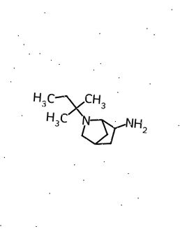 CCC(C)(C)N1CC2CC(N)C1C2